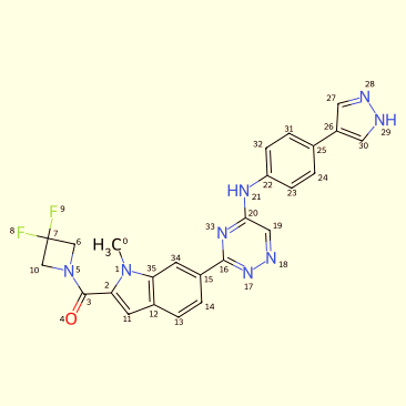 Cn1c(C(=O)N2CC(F)(F)C2)cc2ccc(-c3nncc(Nc4ccc(-c5cn[nH]c5)cc4)n3)cc21